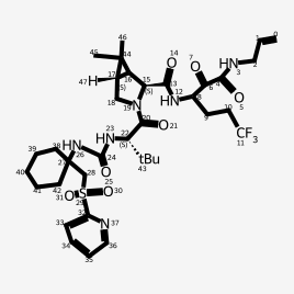 C=CCNC(=O)C(=O)C(CCC(F)(F)F)NC(=O)[C@@H]1C2[C@H](CN1C(=O)[C@@H](NC(=O)NC1(CS(=O)(=O)c3ccccn3)CCCCC1)C(C)(C)C)C2(C)C